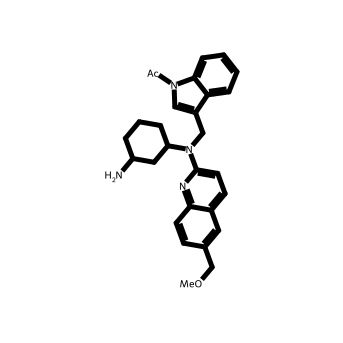 COCc1ccc2nc(N(Cc3cn(C(C)=O)c4ccccc34)C3CCCC(N)C3)ccc2c1